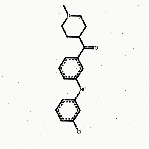 CN1CCC(C(=O)c2cccc(Nc3cccc(Cl)c3)c2)CC1